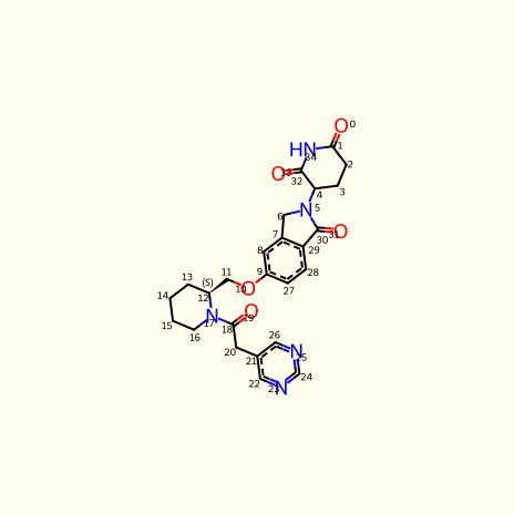 O=C1CCC(N2Cc3cc(OC[C@@H]4CCCCN4C(=O)Cc4cncnc4)ccc3C2=O)C(=O)N1